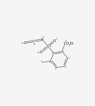 CCOC(=O)c1cccc(C)c1S(=O)(=O)N=C=O